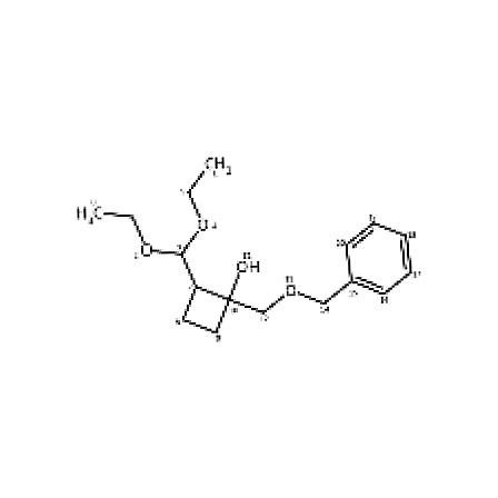 CCOC(OCC)C1CCC1(O)COCc1ccccc1